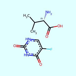 CC(C)[C@H](N)C(=O)O.O=c1[nH]cc(F)c(=O)[nH]1